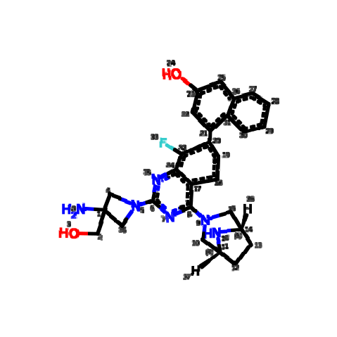 NC1(CO)CN(c2nc(N3C[C@H]4CC[C@@H](C3)N4)c3ccc(-c4cc(O)cc5ccccc45)c(F)c3n2)C1